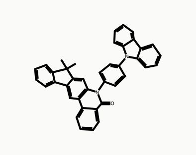 CC1(C)c2ccccc2-c2cc3c4ccccc4c(=O)n(-c4ccc(-n5c6ccccc6c6ccccc65)cc4)c3cc21